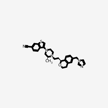 C[C@@H]1CN(c2csc3cc(C#N)ccc23)CCN1CC[C@@H]1OCCc2cc(Cn3ccnc3)ccc21